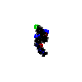 CC(C)N1CCN(CC(=O)N(C)c2ccc(NC(=C3C(=O)Nc4cc(Cl)ccc43)c3ccccc3)cc2)CC1